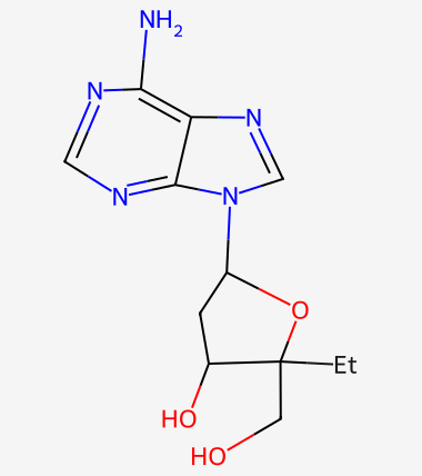 CCC1(CO)OC(n2cnc3c(N)ncnc32)CC1O